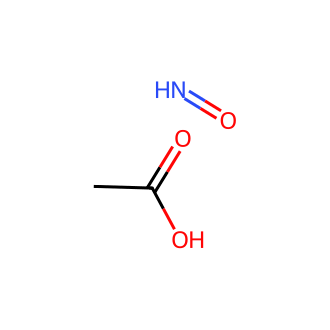 CC(=O)O.N=O